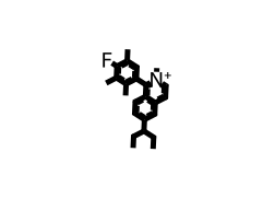 CCC(CC)c1ccc2c(-c3cc(C)c(F)c(C)c3C)[n+](C)ccc2c1